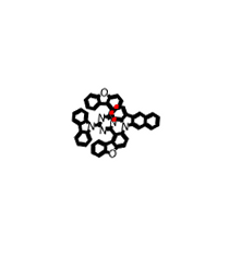 c1ccc2cc3c(cc2c1)c1ccccc1n3-c1ccc2oc3ccccc3c2c1-c1nc(-c2cccc3oc4ccccc4c23)nc(-n2c3ccccc3c3ccccc32)n1